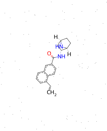 C=Cc1cccc2cc(C(=O)N[C@@H]3C[C@H]4CC[C@@H]3N4)ccc12